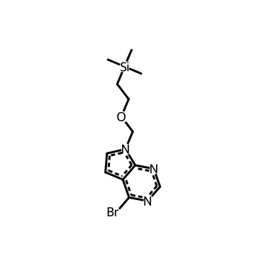 C[Si](C)(C)CCOCn1ccc2c(Br)ncnc21